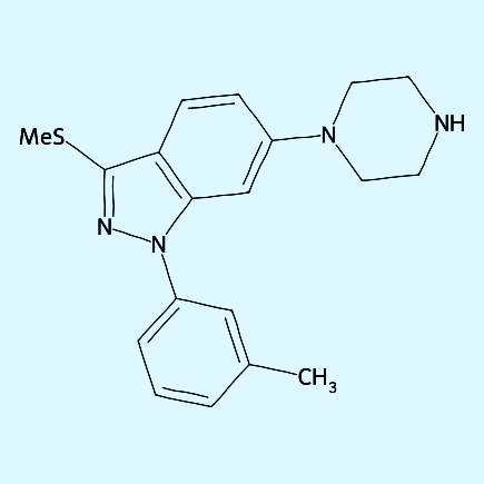 CSc1nn(-c2cccc(C)c2)c2cc(N3CCNCC3)ccc12